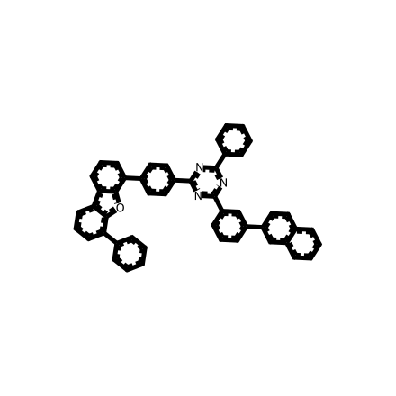 c1ccc(-c2nc(-c3ccc(-c4cccc5c4oc4c(-c6ccccc6)cccc45)cc3)nc(-c3cccc(-c4ccc5ccccc5c4)c3)n2)cc1